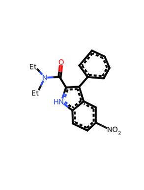 CCN(CC)C(=O)c1[nH]c2ccc([N+](=O)[O-])cc2c1-c1ccccc1